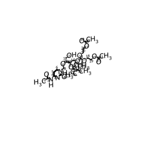 CC(=O)Nc1ccn(CO[C@H](CO)[C@@H](COC(OCCOC(C)=O)OCCOC(C)=O)O[Si](C)(C)C(C)(C)C)c(=O)n1